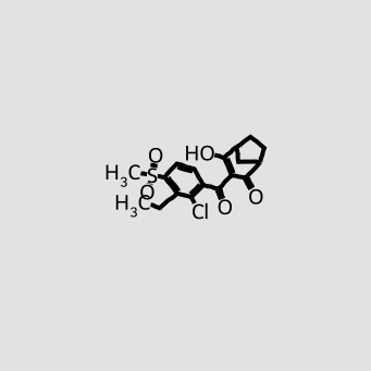 CCc1c(S(C)(=O)=O)ccc(C(=O)C2=C(O)C3CCC(C3)C2=O)c1Cl